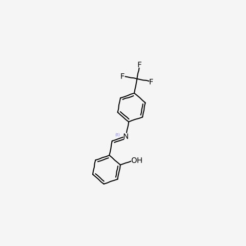 Oc1ccccc1/C=N/c1ccc(C(F)(F)F)cc1